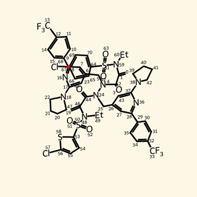 C=C(C(=O)N(Cc1cc(-c2ccc(C(F)(F)F)cc2)nc(N2CCCC2)c1)N(Cc1cc(-c2ccc(C(F)(F)F)cc2)nc(N2CCCC2)c1)C(=O)C(=C)N(CC)S(=O)(=O)c1ccc(Cl)s1)N(CC)S(=O)(=O)c1ccc(Cl)cc1